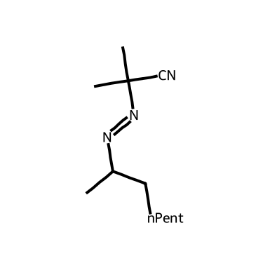 CCCCCCC(C)/N=N/C(C)(C)C#N